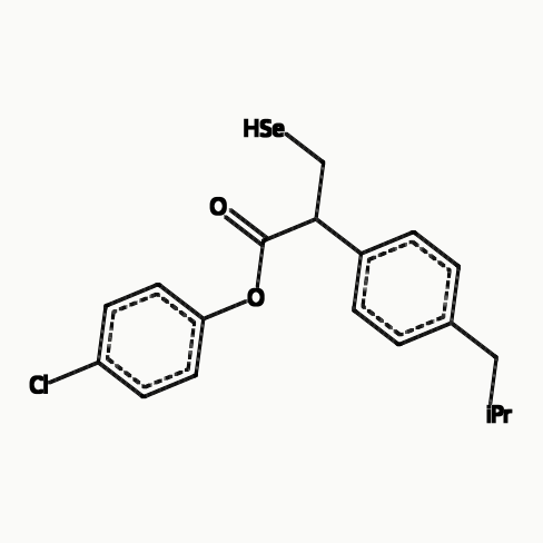 CC(C)Cc1ccc(C(C[SeH])C(=O)Oc2ccc(Cl)cc2)cc1